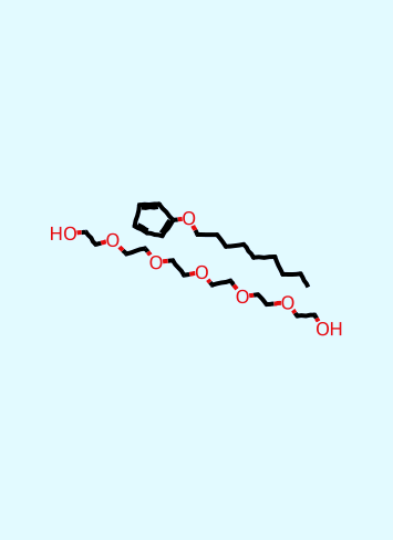 CCCCCCCCCOc1ccccc1.OCCOCCOCCOCCOCCOCCO